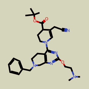 CN(C)CCOc1nc2c(c(N3C=C(CC#N)C(C(=O)OC(C)(C)C)CC3)n1)CCN(Cc1ccccc1)C2